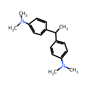 CC(c1ccc(N(C)C)cc1)c1ccc(N(C)C)cc1